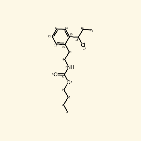 CCCCOC(=O)NCCc1ccccc1C(Cl)CC